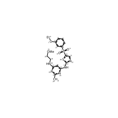 CCOc1cccc(S(=O)(=O)c2cnc(Nc3cc(NCCOC)nc(C)n3)s2)c1